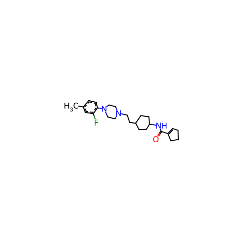 Cc1ccc(N2CCN(CCC3CCC(NC(=O)C4=CCCC4)CC3)CC2)c(F)c1